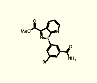 COC(=O)c1nn(-c2cc(Br)cc(C(N)=O)c2)c2ncccc12